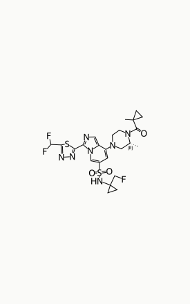 C[C@@H]1CN(c2cc(S(=O)(=O)NC3(CF)CC3)cn3c(-c4nnc(C(F)F)s4)ncc23)CCN1C(=O)C1(C)CC1